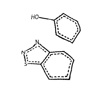 Oc1ccccc1.c1ccc2snnc2c1